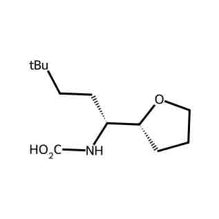 CC(C)(C)CC[C@@H](NC(=O)O)[C@H]1CCCO1